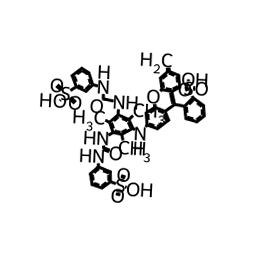 C=c1ccc2c(c1)Oc1cc(Nc3c(C)c(NC(=O)Nc4cccc(S(=O)(=O)O)c4)c(C)c(NC(=O)Nc4cccc(S(=O)(=O)O)c4)c3C)ccc1C=2c1ccccc1S(=O)(=O)O